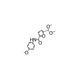 COc1ccc(NC(=O)c2ccc(C(OC)OC)o2)cc1